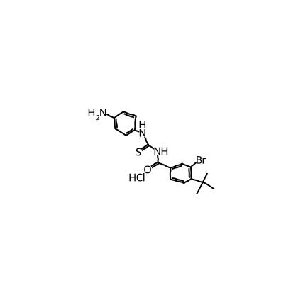 CC(C)(C)c1ccc(C(=O)NC(=S)Nc2ccc(N)cc2)cc1Br.Cl